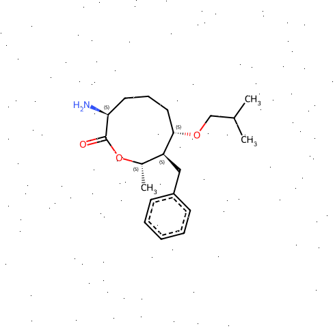 CC(C)CO[C@H]1CCC[C@H](N)C(=O)O[C@@H](C)[C@@H]1Cc1ccccc1